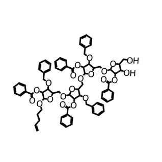 C=CCCCOC1OC(COC2OC(COC3OC(COC4OC(CO)C(O)C4OC(=O)c4ccccc4)C(OCc4ccccc4)C3OC(=O)c3ccccc3)C(OCc3ccccc3)C2OC(=O)c2ccccc2)C(OCc2ccccc2)C1OC(=O)c1ccccc1